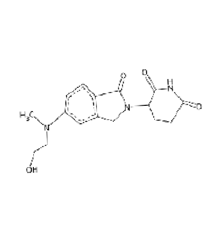 CN(CCO)c1ccc2c(c1)CN(C1CCC(=O)NC1=O)C2=O